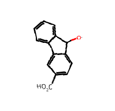 [O]C1c2ccccc2-c2cc(C(=O)O)ccc21